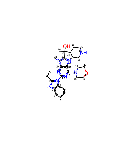 CCc1nc2ccccc2n1-c1nc(N2CCOCC2)c2nc(C(C)(O)C3CCNCC3)n(C)c2n1